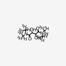 [2H]C([2H])([2H])N(C(=O)C(O)C(O)C(=O)N(C([2H])([2H])[2H])C([2H])([2H])[2H])C([2H])([2H])[2H]